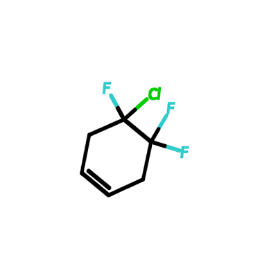 FC1(F)CC=CCC1(F)Cl